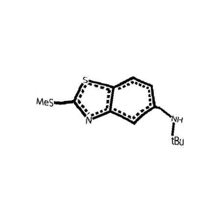 CSc1nc2cc(NC(C)(C)C)ccc2s1